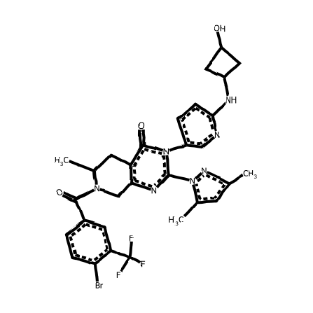 Cc1cc(C)n(-c2nc3c(c(=O)n2-c2ccc(NC4CC(O)C4)nc2)CC(C)N(C(=O)c2ccc(Br)c(C(F)(F)F)c2)C3)n1